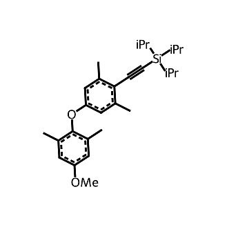 COc1cc(C)c(Oc2cc(C)c(C#C[Si](C(C)C)(C(C)C)C(C)C)c(C)c2)c(C)c1